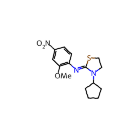 COc1cc([N+](=O)[O-])ccc1N=C1SCCN1C1CCCC1